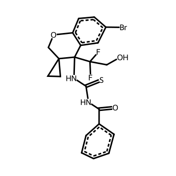 O=C(NC(=S)NC1(C(F)(F)CO)c2cc(Br)ccc2OCC12CC2)c1ccccc1